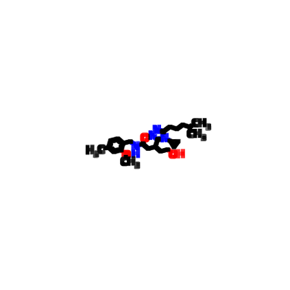 COc1cc(C)ccc1CNC(=O)CC(CCO)c1nnc(CCCC(C)C)n1C1CC1